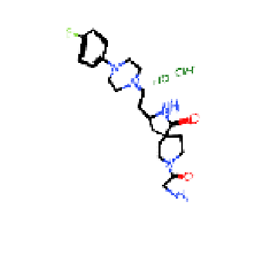 Cl.Cl.NCC(=O)N1CCC2(CC1)CC(CCN1CCN(c3ccc(F)cc3)CC1)NC2=O